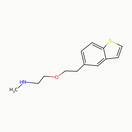 CNCCOCCc1ccc2sccc2c1